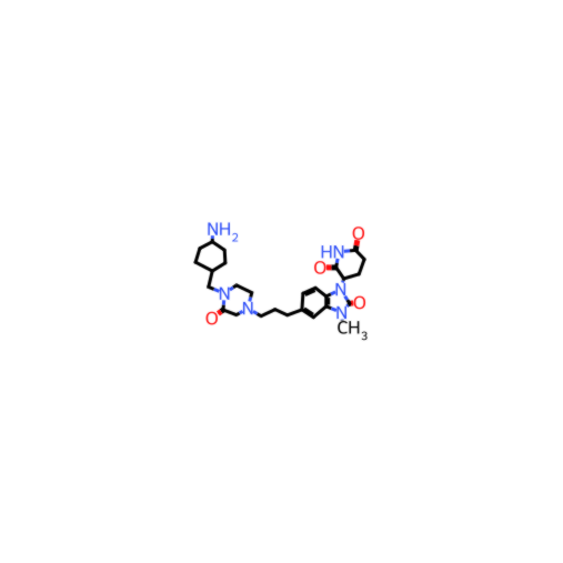 Cn1c(=O)n(C2CCC(=O)NC2=O)c2ccc(CCCN3CCN(CC4CCC(N)CC4)C(=O)C3)cc21